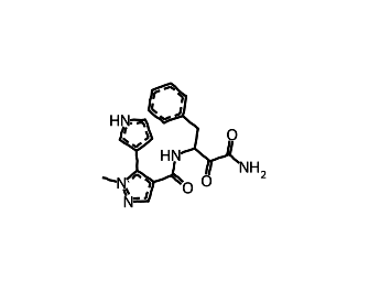 Cn1ncc(C(=O)NC(Cc2ccccc2)C(=O)C(N)=O)c1-c1cc[nH]c1